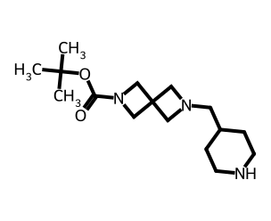 CC(C)(C)OC(=O)N1CC2(CN(CC3CCNCC3)C2)C1